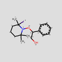 CC1(C)CCCC(C)(I)N1OC(CO)c1ccccc1